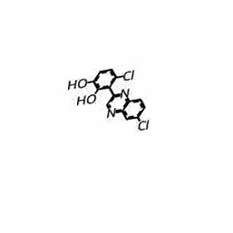 Oc1ccc(Cl)c(-c2cnc3cc(Cl)ccc3n2)c1O